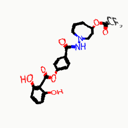 O=C(NN1CCCC(OC(=O)C(F)(F)F)CC1)c1ccc(OC(=O)c2c(O)cccc2O)cc1